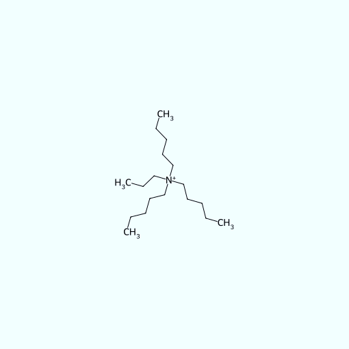 CCCCC[N+](CCC)(CCCCC)CCCCC